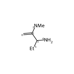 C=C(NC)C(N)CC